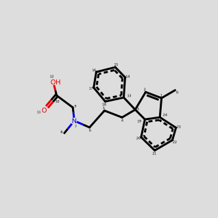 CC1=CC(CCCN(C)CC(=O)O)(c2ccccc2)c2ccccc21